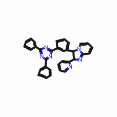 C1=CC2=NC(c3ccccn3)C(c3cccc(-c4nc(-c5ccccc5)nc(-c5ccccc5)n4)c3)N2C=C1